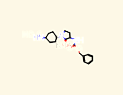 CC(=O)N[C@@H]1CC(NC(=O)O)CC[C@@H]1N1CCC(NC(=O)OCc2ccccc2)C1=O